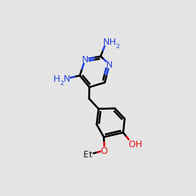 CCOc1cc(Cc2cnc(N)nc2N)ccc1O